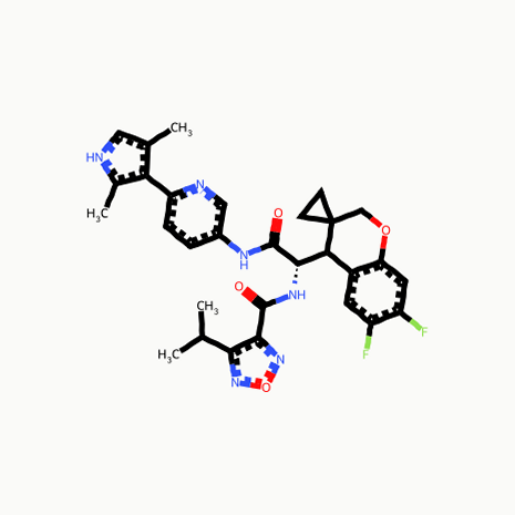 Cc1c[nH]c(C)c1-c1ccc(NC(=O)[C@@H](NC(=O)c2nonc2C(C)C)C2c3cc(F)c(F)cc3OCC23CC3)cn1